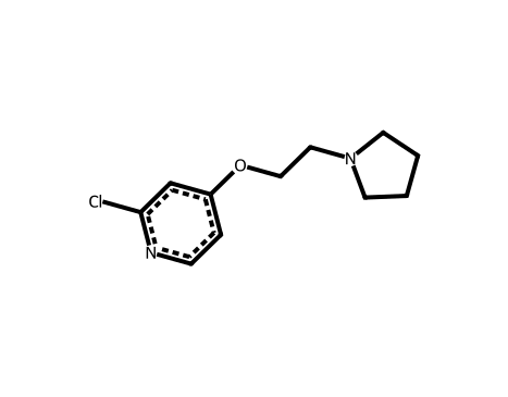 Clc1cc(OCCN2CCCC2)ccn1